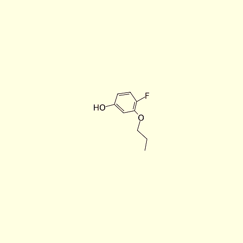 CCCOc1cc(O)ccc1F